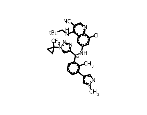 Cc1c(-c2cnn(C)c2)cccc1[C@H](Nc1cc(Cl)c2ncc(C#N)c(NCC(C)(C)C)c2c1)c1cn(C2(C(F)(F)F)CC2)nn1